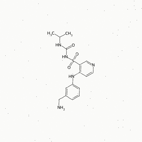 CC(C)NC(=O)NS(=O)(=O)c1cnccc1Nc1cccc(CN)c1